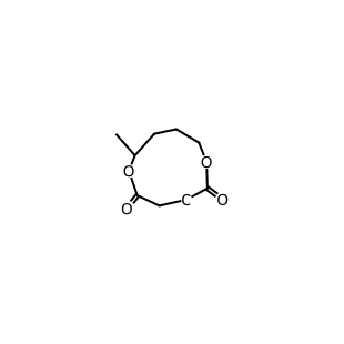 CC1CCCOC(=O)CCC(=O)O1